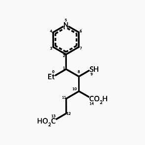 CCC(c1ccncc1)C(S)C(CCC(=O)O)C(=O)O